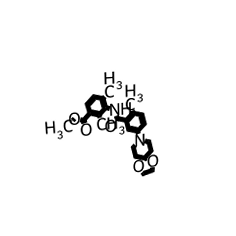 COC(=O)c1ccc(C)c(NC(=O)c2cc(N3CCC4(CC3)OCCO4)ccc2C)c1C